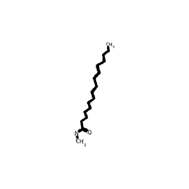 CCCCCCCCCCCCCCCC(=O)[N]C